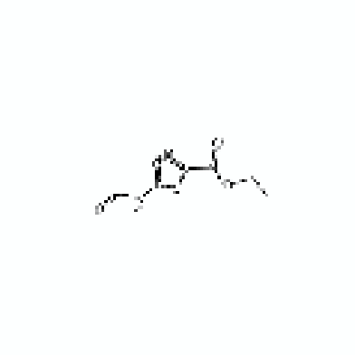 CCOC(=O)c1nnc(N[C]=O)s1